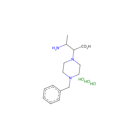 CC(N)C(C(=O)O)N1CCN(Cc2ccccc2)CC1.Cl.Cl.Cl